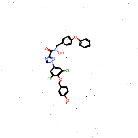 COc1ccc(COc2c(Cl)cc(-n3cnc(C(=O)N(O)Cc4ccc(Oc5ccccc5)cc4)n3)cc2Cl)cc1